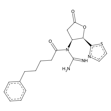 N=C(N)N(C(=O)CCCCc1ccccc1)[C@H]1CC(=O)O[C@H]1c1nccs1